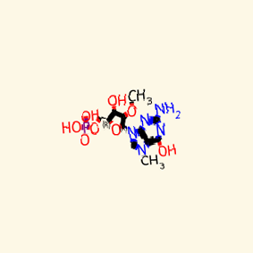 COC1C(O)[C@@H](COP(=O)(O)O)O[C@H]1n1c[n+](C)c2c(O)nc(N)nc21